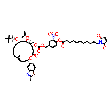 C=CC[C@H]1C(=O)C(C)(C)[C@@H](OC(=O)OCc2ccc(OC(=O)CCCCCCCCCCN3C(=O)C=CC3=O)c([N+](=O)[O-])c2)CC(=O)O[C@H](c2ccc3sc(C)nc3c2)C/C=C(\C)CCC[C@H](C)[C@@H]1O[Si](C)(C)C(C)(C)C